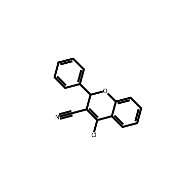 N#CC1=C(Cl)c2ccccc2OC1c1ccccc1